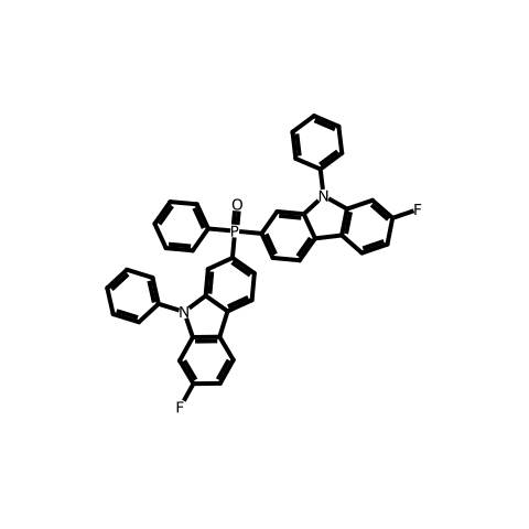 O=P(c1ccccc1)(c1ccc2c3ccc(F)cc3n(-c3ccccc3)c2c1)c1ccc2c3ccc(F)cc3n(-c3ccccc3)c2c1